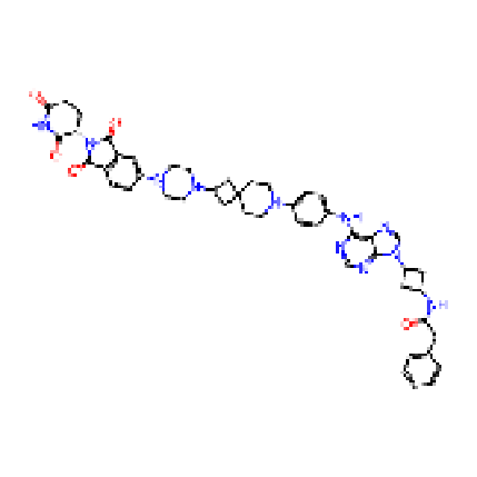 O=C1CC[C@H](N2C(=O)c3ccc(N4CCN(C5CC6(CCN(c7ccc(Nc8ncnc9c8ncn9C8CC(NC(=O)Cc9ccccc9)C8)cc7)CC6)C5)CC4)cc3C2=O)C(=O)N1